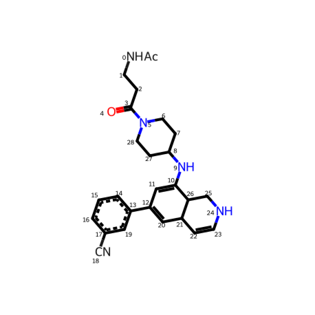 CC(=O)NCCC(=O)N1CCC(NC2=CC(c3cccc(C#N)c3)=CC3C=CNCC23)CC1